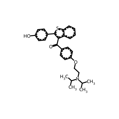 CC(C)N(CCOc1ccc(C(=O)c2c(-c3ccc(O)cc3)sc3ccccc23)cc1)C(C)C